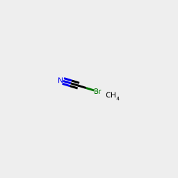 C.N#CBr